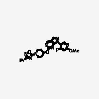 COc1cc(F)c(-n2ncc3cnc(OC4CCN(c5nc(C(C)C)no5)CC4)nc32)cn1